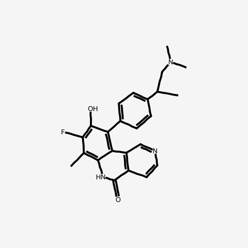 Cc1c(F)c(O)c(-c2ccc(C(C)CN(C)C)cc2)c2c1[nH]c(=O)c1ccncc12